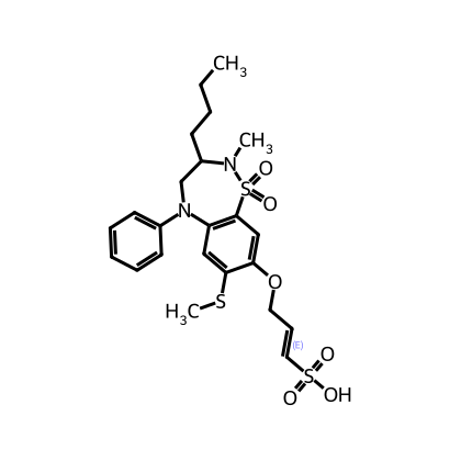 CCCCC1CN(c2ccccc2)c2cc(SC)c(OC/C=C/S(=O)(=O)O)cc2S(=O)(=O)N1C